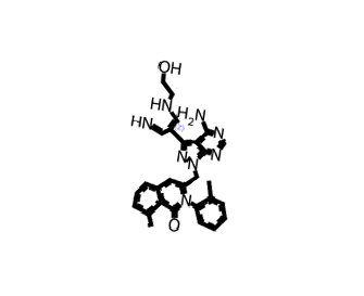 Cc1ccccc1-n1c(Cn2nc(/C(C=N)=C/NCCO)c3c(N)ncnc32)cc2cccc(C)c2c1=O